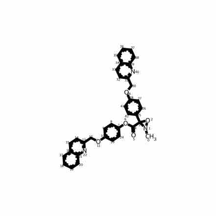 CN1OC1(C(=O)Oc1ccc(OCc2ccc3ccccc3n2)cc1)c1ccc(OCc2ccc3ccccc3n2)cc1